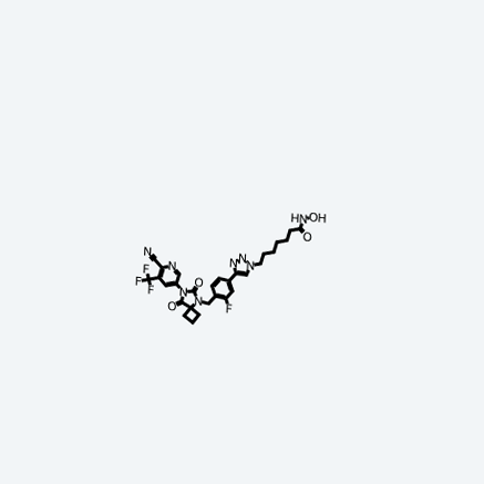 N#Cc1ncc(N2C(=O)N(Cc3ccc(-c4cn(CCCCCCC(=O)NO)nn4)cc3F)C3(CCC3)C2=O)cc1C(F)(F)F